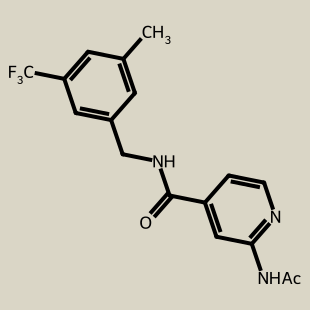 CC(=O)Nc1cc(C(=O)NCc2cc(C)cc(C(F)(F)F)c2)ccn1